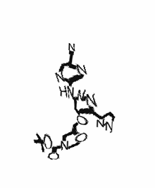 Cn1ccc(-c2nnc(Nc3cnc(C#N)cn3)cc2OCC2CN(C(=O)OC(C)(C)C)CCO2)n1